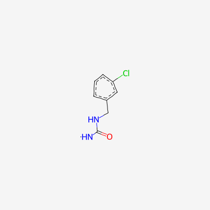 [NH]C(=O)NCc1cccc(Cl)c1